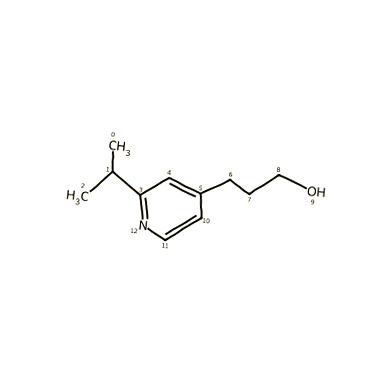 CC(C)c1cc(CCCO)ccn1